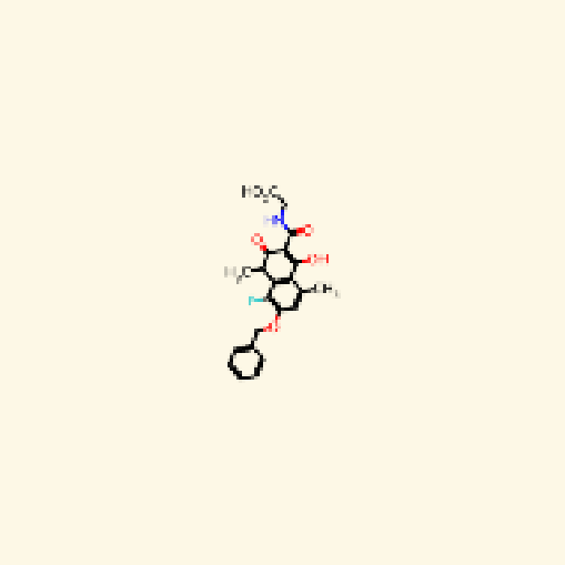 Cc1cc(OCc2ccccc2)c(F)c2c1C(O)=C(C(=O)NCC(=O)O)C(=O)C2C